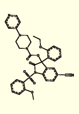 CCOc1ccccc1C1(OC(=O)N2CCN(c3ccncc3)CC2)C(=O)N(S(=O)(=O)c2ccccc2OC)c2ccc(C#N)cc21